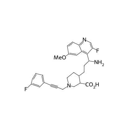 COc1ccc2ncc(F)c(C(N)CCC3CCN(CC#Cc4cccc(F)c4)CC3C(=O)O)c2c1